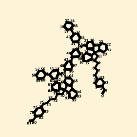 C=CC1=CC=C(CCCCCCC2(c3ccccc3)c3ccccc3-c3ccc(N(c4ccc(-c5ccccc5)cc4)c4ccc(-c5ccc(N(c6ccc(-c7ccccc7)cc6)c6ccc7c(c6)C(CCCCCCc6ccc(C=C)cc6)(c6ccccc6)c6ccccc6-7)cc5)cc4)cc32)CC1